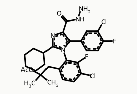 CC(=O)OC(C)(C)Cc1ccc(Cl)c(F)c1-n1c(C2CCCCC2)nc(C(=O)NN)c1-c1ccc(F)c(Cl)c1